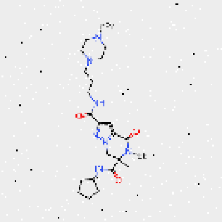 CCCN1CCN(CCCNC(=O)c2cc3n(n2)CC(C)(C(=O)NC2CCCC2)N(CC)C3=O)CC1